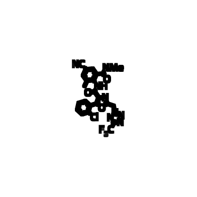 CNC(=O)c1cc(C#N)cc(C)c1NC(=O)c1nc(Cn2nnc(C(F)(F)F)n2)oc1-c1ccccc1Cl